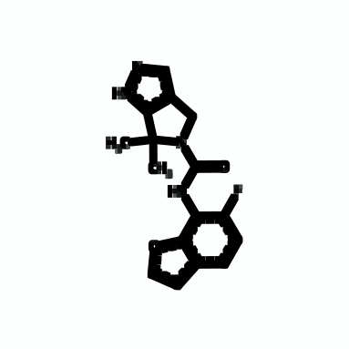 CC1(C)c2[nH]ncc2CN1C(=O)Nc1c(F)ccc2ccoc12